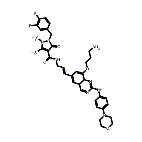 Cc1c(C(=O)NC/C=C/C2=CC3C=NC(Nc4ccc(N5CCOCC5)cc4)=NC3C(OCCCN)=C2)c(=O)n(Cc2ccc(F)c(F)c2)n1C